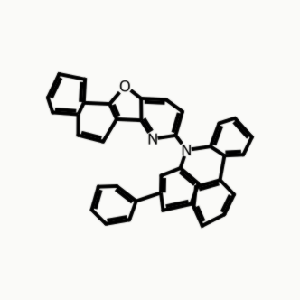 c1ccc(-c2cccc(N(c3ccc4oc5c6ccccc6ccc5c4n3)c3ccccc3-c3ccccc3)c2)cc1